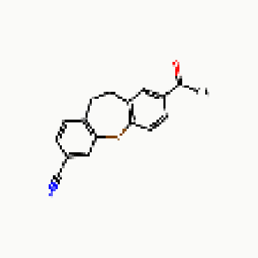 CC(=O)c1ccc2c(c1)CCc1ccc(C#N)cc1S2